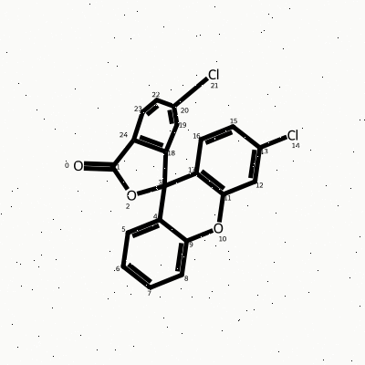 O=C1OC2(c3ccccc3Oc3cc(Cl)ccc32)c2cc(Cl)ccc21